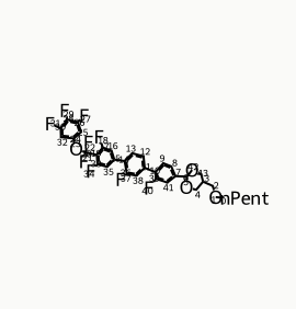 CCCCCOCC1COC(c2ccc(-c3ccc(-c4cc(F)c(C(F)(F)Oc5cc(F)c(F)c(F)c5)c(F)c4)c(F)c3)c(F)c2)OC1